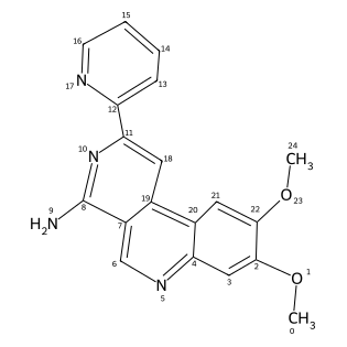 COc1cc2ncc3c(N)nc(-c4ccccn4)cc3c2cc1OC